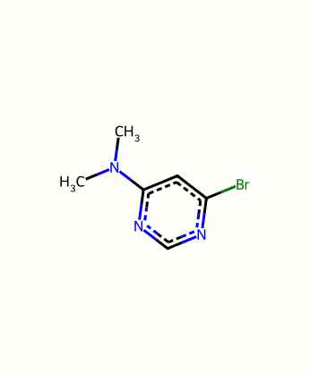 CN(C)c1cc(Br)ncn1